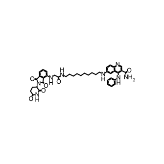 NC(=O)c1cnc2ccc(NCCCCCCCCCCNC(=O)CNc3cccc4c3C(=O)N(C3CCC(=O)NC3=O)C4=O)cc2c1Nc1ccccc1